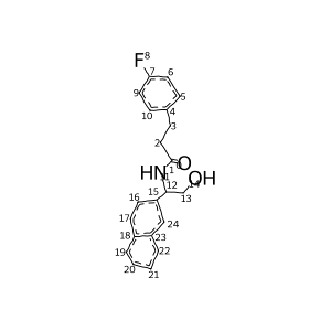 O=C(CCc1ccc(F)cc1)NC(CO)c1ccc2ccccc2c1